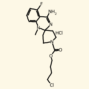 CN1c2cccc(F)c2C(N)=NC12CCN(C(=O)OCCCCCl)CC2.Cl